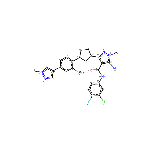 COc1cc(-c2cnn(C)c2)ccc1C1CCC(c2nn(C)c(N)c2C(=O)Nc2ccc(F)c(Cl)c2)C1